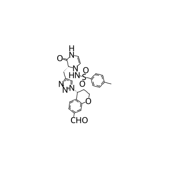 Cc1ccc(S(=O)(=O)NN2C=CNC(=O)[C@H]2Cc2cn([C@@H]3CCOc4cc(C=O)ccc43)nn2)cc1